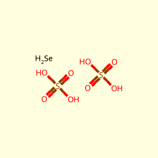 O=S(=O)(O)O.O=S(=O)(O)O.[SeH2]